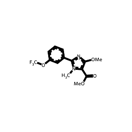 COC(=O)c1c(OC)nc(-c2cccc(OC(F)(F)F)c2)n1C